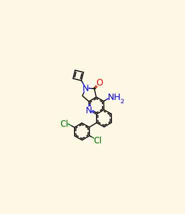 Nc1c2c(nc3c(-c4cc(Cl)ccc4Cl)cccc13)CN(C1=CC=C1)C2=O